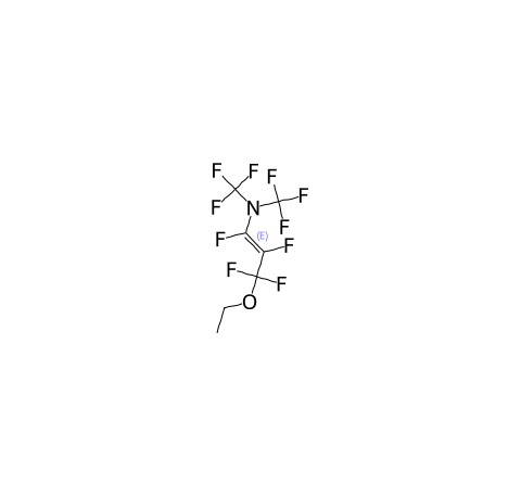 CCOC(F)(F)/C(F)=C(\F)N(C(F)(F)F)C(F)(F)F